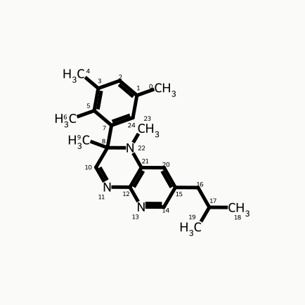 Cc1cc(C)c(C)c(C2(C)C=Nc3ncc(CC(C)C)cc3N2C)c1